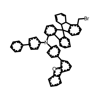 BrCc1cccc2c1C1C=CC=CC1C21c2ccccc2-c2c(N(c3ccc(-c4ccccc4)cc3)c3ccc(-c4cccc5c4oc4ccccc45)cc3)cccc21